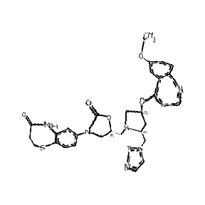 COc1ccc2ncnc(O[C@H]3C[C@@H](Cn4ccnn4)N(C[C@@H]4CN(c5ccc6c(c5)NC(=O)CS6)C(=O)O4)C3)c2c1